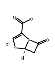 O=C([O-])C1=CS[C@@H]2CC(=O)N12.[K+]